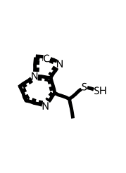 CC(SS)c1nccn2ccnc12